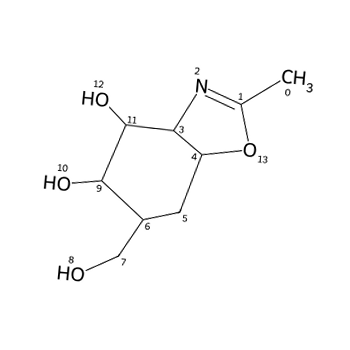 CC1=NC2C(CC(CO)C(O)C2O)O1